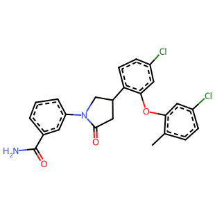 Cc1ccc(Cl)cc1Oc1cc(Cl)ccc1C1CC(=O)N(c2cccc(C(N)=O)c2)C1